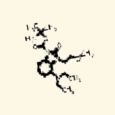 CCN(CC)c1cccc2c1n(CCOC)c(=O)n2C(=O)OC(C)(C)C